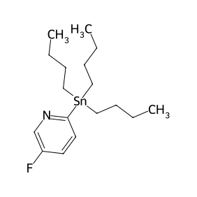 CCC[CH2][Sn]([CH2]CCC)([CH2]CCC)[c]1ccc(F)cn1